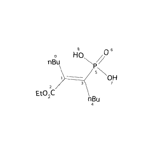 CCCCC(C(=O)OCC)=C(CCCC)P(=O)(O)O